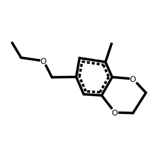 CCOCc1cc(C)c2c(c1)OCCO2